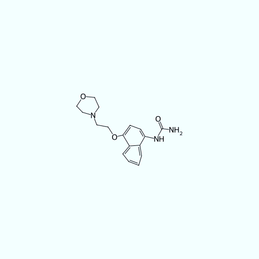 NC(=O)Nc1ccc(OCCN2CCOCC2)c2ccccc12